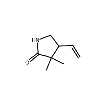 C=CC1CNC(=O)C1(C)C